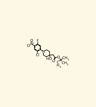 CC(C)(C)OC(=O)CC1(O)CCN(c2cc(F)c([N+](=O)[O-])cc2Cl)CC1